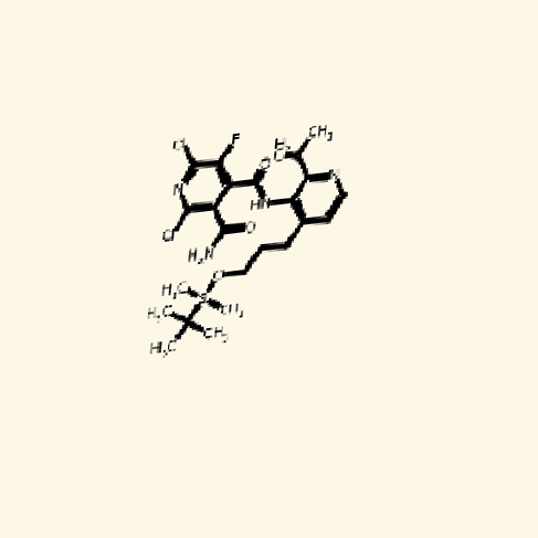 CC(C)c1nccc(CCCO[Si](C)(C)C(C)(C)C)c1NC(=O)c1c(F)c(Cl)nc(Cl)c1C(N)=O